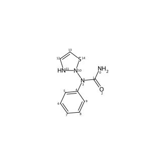 NC(=O)N(c1ccccc1)N1NC=CS1